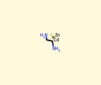 NCCN.[S]=[Cd].[Zn]